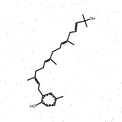 C/C(=C\CC/C(C)=C/CC/C(C)=C/Cc1cc(C)ccc1O)C/C=C/C(C)(C)O